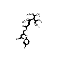 C=C(C)C(=C(\C)NC)/C(C)=C/C(=O)OCc1cc(=O)n2cc(F)ccc2n1